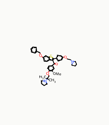 COc1cc(C(=O)c2c(-c3ccc(OCCN4CCCC4)cc3)sc3cc(OCc4ccccc4)ccc23)ccc1OCC(C)(C)N1CCCC1